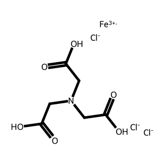 O=C(O)CN(CC(=O)O)CC(=O)O.[Cl-].[Cl-].[Cl-].[Fe+3]